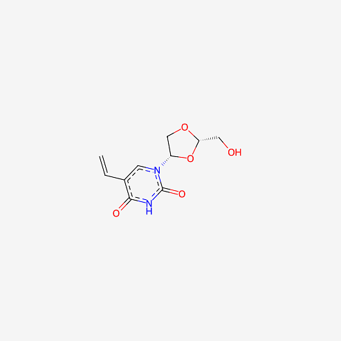 C=Cc1cn([C@@H]2CO[C@H](CO)O2)c(=O)[nH]c1=O